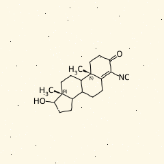 [C-]#[N+]C1=C2CCC3C4CCC(O)[C@]4(C)CCC3[C@]2(C)CCC1=O